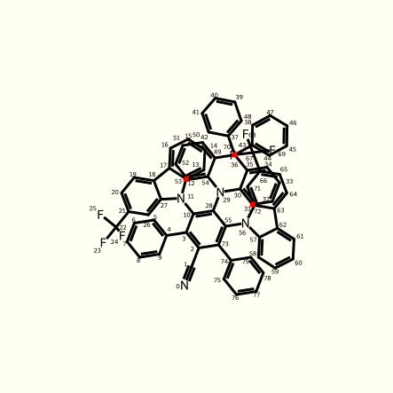 N#Cc1c(-c2ccccc2)c(-n2c3ccccc3c3ccc(C(F)(F)F)cc32)c(N2c3ccccc3C(c3ccccc3)(c3ccccc3)c3ccccc32)c(-n2c3ccccc3c3ccc(C(F)(F)F)cc32)c1-c1ccccc1